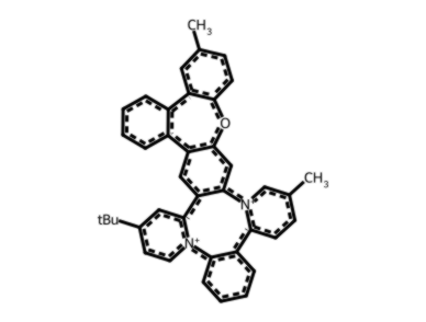 Cc1ccc2oc3cc4c(cc3c3ccccc3c2c1)c1cc(C(C)(C)C)cc[n+]1c1ccccc1c1ccc(C)c[n+]14